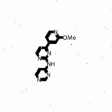 COc1cc(-c2ccnc(Nc3ccncn3)n2)ccn1